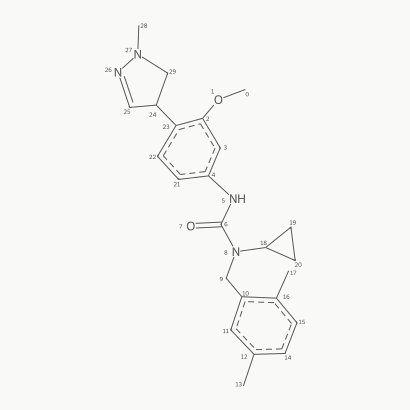 COc1cc(NC(=O)N(Cc2cc(C)ccc2C)C2CC2)ccc1C1C=NN(C)C1